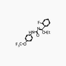 CCO/C(=N\C(=O)Nc1ccc(OC(F)(F)F)cc1)c1ccccc1F